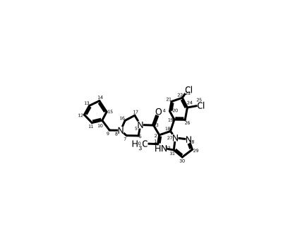 CC1=C(C(=O)N2CCN(Cc3ccccc3)CC2)C(c2ccc(Cl)c(Cl)c2)n2nccc2N1